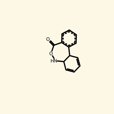 O=C1ONC2C=CC=CC2c2ccccc21